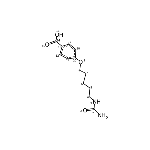 NC(=O)NCCCCCOc1ccc(C(=O)O)cc1